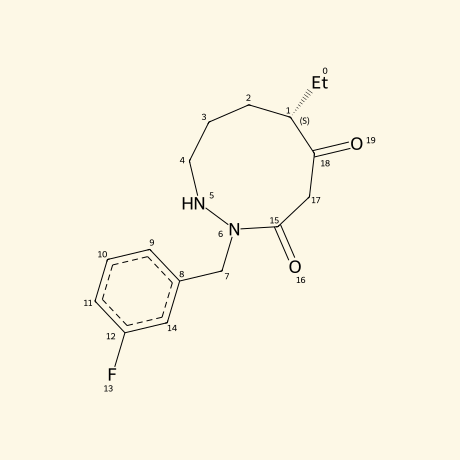 CC[C@H]1CCCNN(Cc2cccc(F)c2)C(=O)CC1=O